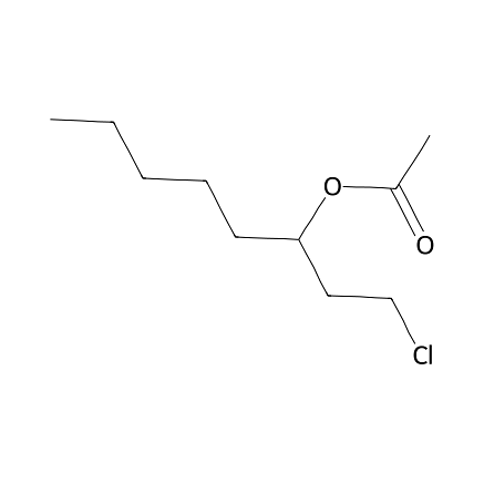 CCCCCC(CCCl)OC(C)=O